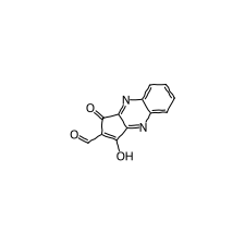 O=CC1=C(O)c2nc3ccccc3nc2C1=O